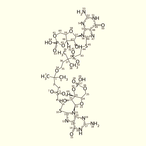 CC(C)(CCS(=O)(=O)CCSc1nc2c(=O)[nH]c(N)nc2n1[C@@H]1OC2COP(=O)(O)O[C@H]2C1O)OCCC(C)(C)S(=O)(=O)CCSc1nc2c(=O)[nH]c(N)nc2n1[C@@H]1OC2COP(=O)(O)O[C@H]2C1O